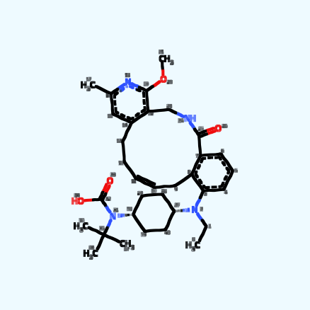 CCN(c1cccc2c1CC=CCCc1cc(C)nc(OC)c1CNC2=O)[C@H]1CC[C@@H](N(C(=O)O)C(C)(C)C)CC1